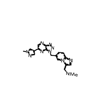 CNCc1cnc2ccc(Cn3nnc4ncc(-c5cnn(C)c5)nc43)cn12